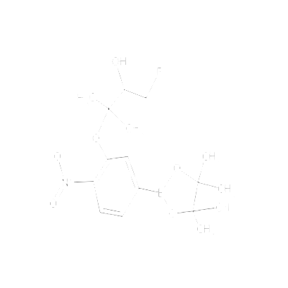 CC(C)(Oc1cc(B2OC(C)(C)C(C)(C)O2)ccc1[N+](=O)[O-])C(O)CF